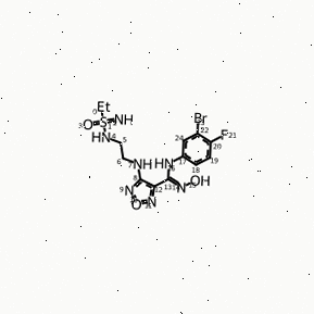 CCS(=N)(=O)NCCNc1nonc1/C(=N/O)Nc1ccc(F)c(Br)c1